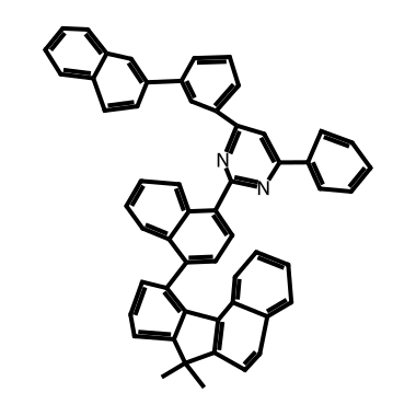 CC1(C)c2cccc(-c3ccc(-c4nc(-c5ccccc5)cc(-c5cccc(-c6ccc7ccccc7c6)c5)n4)c4ccccc34)c2-c2c1ccc1ccccc21